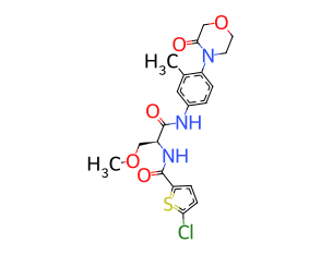 COC[C@H](NC(=O)c1ccc(Cl)s1)C(=O)Nc1ccc(N2CCOCC2=O)c(C)c1